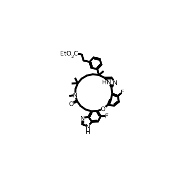 CCOC(=O)CCc1cccc(C2(C)CCCC(C)(C)CN(C)C(=O)CCc3c(c(F)cc4[nH]cnc34)Oc3ccc(F)c(c3)-c3ncc2[nH]3)c1